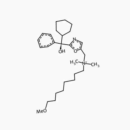 COCCCCCCCC[N+](C)(C)Cc1cnc([C@](O)(c2ccccc2)C2CCCCC2)o1